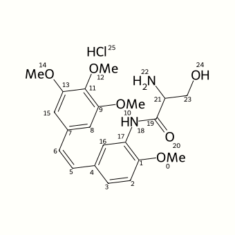 COc1ccc(/C=C\c2cc(OC)c(OC)c(OC)c2)cc1NC(=O)C(N)CO.Cl